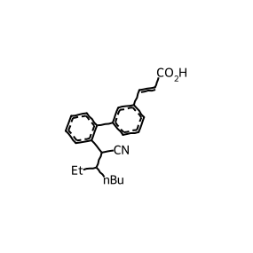 CCCCC(CC)C(C#N)c1ccccc1-c1cccc(C=CC(=O)O)c1